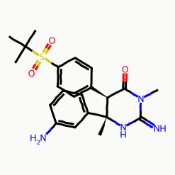 CN1C(=N)N[C@](C)(c2cccc(N)c2)[C@@H](c2ccc(S(=O)(=O)C(C)(C)C)cc2)C1=O